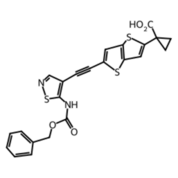 O=C(Nc1sncc1C#Cc1cc2sc(C3(C(=O)O)CC3)cc2s1)OCc1ccccc1